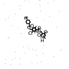 COc1cc(C)[nH]c(=O)c1CNC(=O)c1cc(Cl)c2c(c1C)OC(C1CCC(N(C)C)CC1)OC2